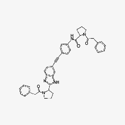 O=C(Nc1ccc(C#Cc2ccc3nc(C4CCCN4C(=O)Cc4ccccc4)[nH]c3c2)cc1)C1CCCN1C(=O)Cc1ccccc1